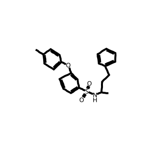 Cc1ccc(Oc2cccc(S(=O)(=O)NC(C)CCc3ccccc3)c2)cc1